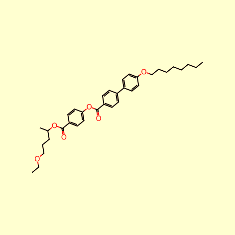 CCCCCCCCOc1ccc(-c2ccc(C(=O)Oc3ccc(C(=O)OC(C)CCCOCC)cc3)cc2)cc1